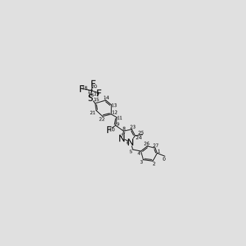 Cc1ccc(Cn2nc(C(F)=Cc3ccc(SC(F)(F)F)cc3)cc2C)cc1